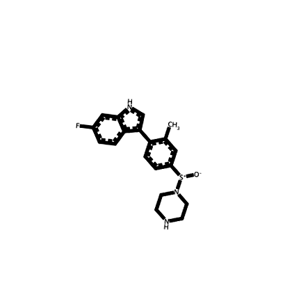 Cc1cc([S+]([O-])N2CCNCC2)ccc1-c1c[nH]c2cc(F)ccc12